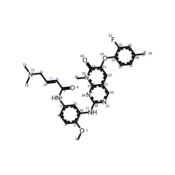 COc1ccc(NC(=O)/C=C/CN(C)C)cc1Nc1ncc2cc(Oc3ccc(F)cc3F)c(=O)n(C)c2n1